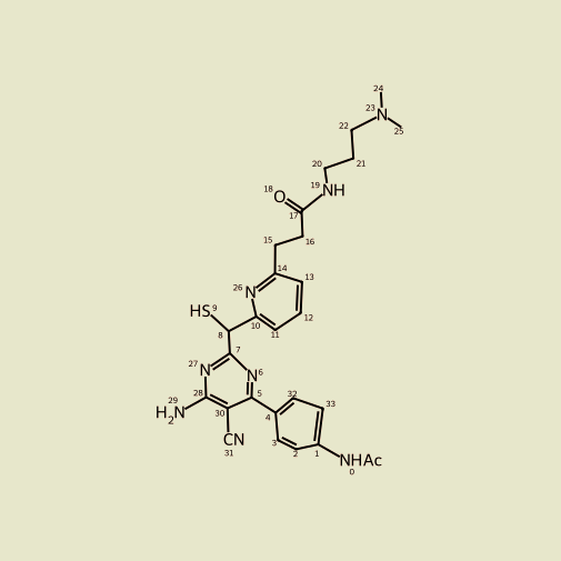 CC(=O)Nc1ccc(-c2nc(C(S)c3cccc(CCC(=O)NCCCN(C)C)n3)nc(N)c2C#N)cc1